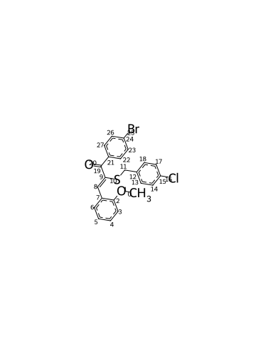 COc1ccccc1C=C(SCc1ccc(Cl)cc1)C(=O)c1ccc(Br)cc1